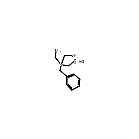 C[CH2][Zn]([CH2]C)([CH2]C)[CH2]c1ccccc1.Cl